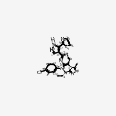 CC[C@H]1c2nnc(C)n2-c2cnc(-c3cn[nH]c3-c3nccs3)nc2N1c1ccc(Cl)cc1